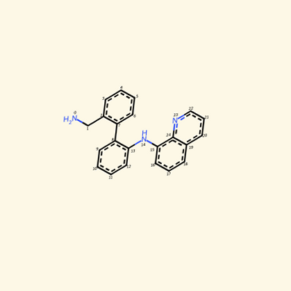 NCc1ccccc1-c1ccccc1Nc1cccc2cccnc12